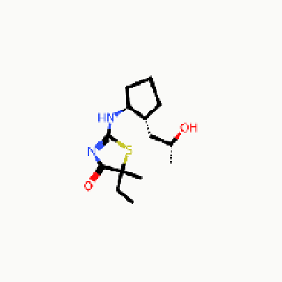 CCC1(C)SC(N[C@H]2CCC[C@@H]2C[C@@H](C)O)=NC1=O